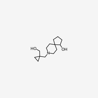 OCC1(CN2CCC3(CCCC3O)CC2)CC1